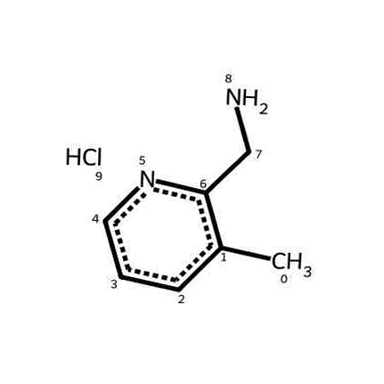 Cc1cccnc1CN.Cl